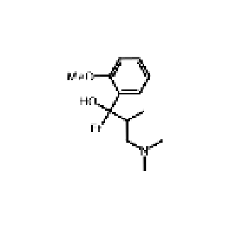 CCC(O)(c1ccccc1OC)C(C)CN(C)C